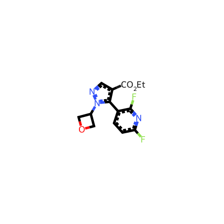 CCOC(=O)c1cnn(C2COC2)c1-c1ccc(F)nc1F